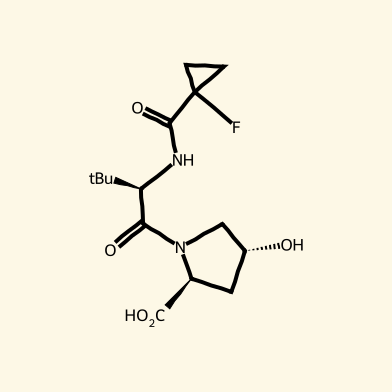 CC(C)(C)[C@@H](NC(=O)C1(F)CC1)C(=O)N1C[C@H](O)C[C@H]1C(=O)O